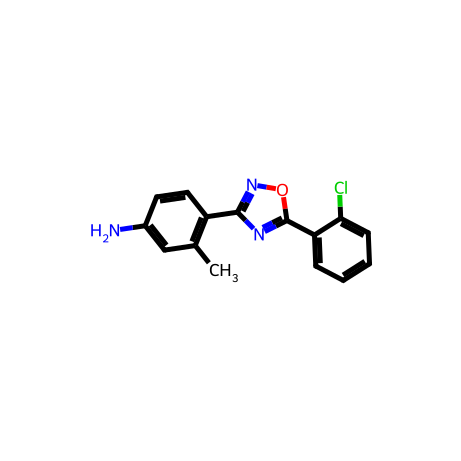 Cc1cc(N)ccc1-c1noc(-c2ccccc2Cl)n1